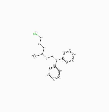 CC(CCCCl)CCC(c1ccccc1)c1ccccc1